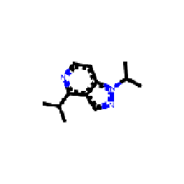 CC(C)c1nccc2c1cnn2C(C)C